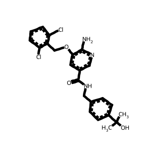 CC(C)(O)c1ccc(CNC(=O)c2cnc(N)c(OCc3c(Cl)cccc3Cl)c2)cc1